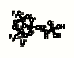 O=S(=O)([C-](S(=O)(=O)C(F)(F)F)S(=O)(=O)C(F)(F)F)C(F)(F)F.[Li+].[Li+].[O-][Si](O)(O)O